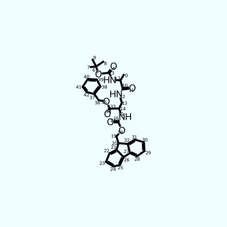 CC(NC(=O)OC(C)(C)C)C(=O)NCC(NC(=O)OCC1c2ccccc2-c2ccccc21)C(=O)OCc1ccccc1